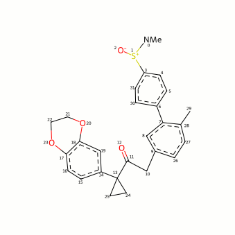 CN[S+]([O-])c1ccc(-c2cc(CC(=O)C3(c4ccc5c(c4)OCCO5)CC3)ccc2C)cc1